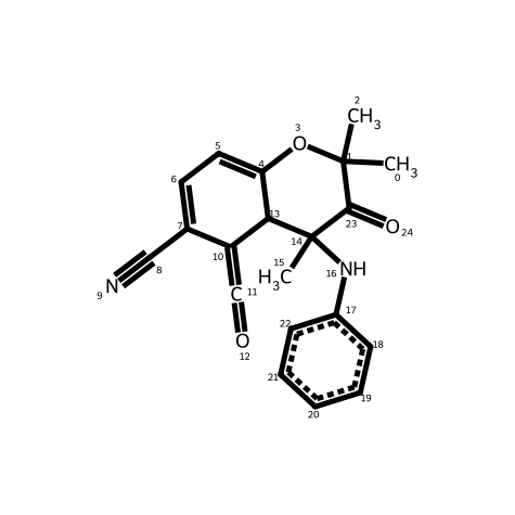 CC1(C)OC2=CC=C(C#N)C(=C=O)C2C(C)(Nc2ccccc2)C1=O